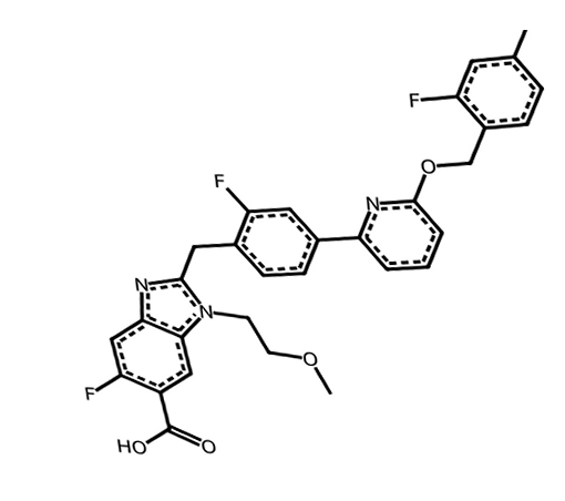 COCCn1c(Cc2ccc(-c3cccc(OCc4ccc(C)cc4F)n3)cc2F)nc2cc(F)c(C(=O)O)cc21